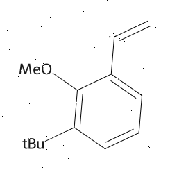 C=[C]c1cccc(C(C)(C)C)c1OC